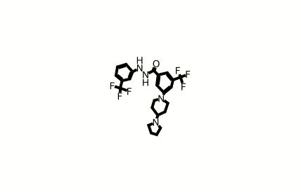 O=C(NNc1cccc(C(F)(F)F)c1)c1cc(N2CCC(N3CCCC3)CC2)cc(C(F)(F)F)c1